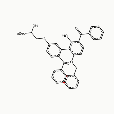 CCCCCCCCCCC(O)COc1ccc(C(=O)c2ccccc2)c(-c2c(OCc3ccccc3)ccc(C(=O)c3ccccc3)c2O)c1